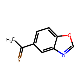 CC(=S)c1ccc2ocnc2c1